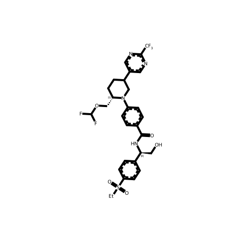 CCS(=O)(=O)c1ccc([C@H](CO)NC(=O)c2ccc(N3CC(c4cnc(C(F)(F)F)nc4)CC[C@H]3COC(F)F)cc2)cc1